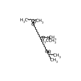 CCCCC(CCCC)CC(=O)OCCCCCCCCCCC(CCCCCCCCCCOC(=O)CC(CCCC)CCCC)COCCCN(C)C(C)C